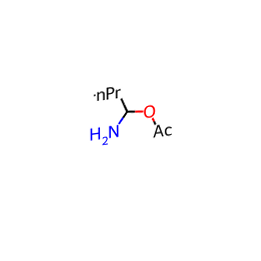 CC[CH]C(N)OC(C)=O